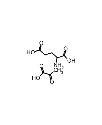 CC(=O)C(=O)O.NC(CCC(=O)O)C(=O)O